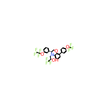 O[C@@H](CN1c2cccc(-c3ccc(OC(F)(F)F)cc3)c2OC[C@@H]1c1cccc(OC(F)(F)C(F)F)c1)C(F)(F)F